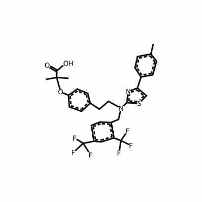 Cc1ccc(-c2csc(N(CCc3ccc(OC(C)(C)C(=O)O)cc3)Cc3ccc(C(F)(F)F)cc3C(F)(F)F)n2)cc1